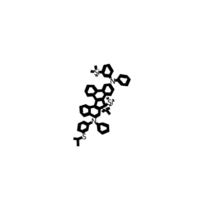 CC(C)Sc1cccc(N(c2ccccc2)c2cc3c(c4ccccc24)-c2c(c4ccc(N(c5ccccc5)c5cccc([Si](C)(C)C)c5)cc4c4ccccc24)C3([Si](C)(C)C)[Si](C)(C)C)c1